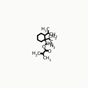 C=C(C)C(=O)O[SiH2]C1(C(C)C)CCCCC1C(C)C